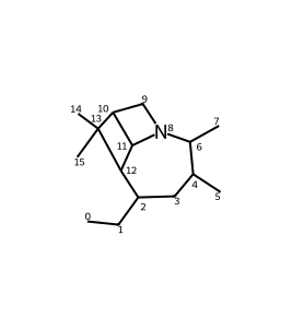 CCC1CC(C)C(C)N2CC3C2C1C3(C)C